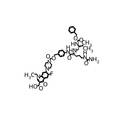 CCn1cc(C(=O)O)c(=O)c2cc(F)c(N3CCN(C(=O)OCc4ccc(NC(=O)[C@H](CCCNC(N)=O)NC[C@@H](NC(=O)OCc5ccccc5)C(C)C)cc4)CC3)cc21